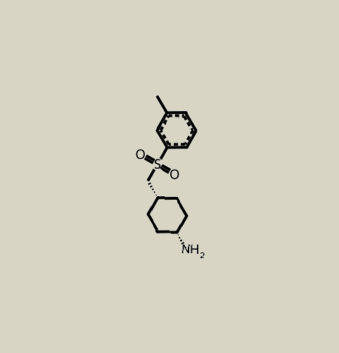 Cc1cccc(S(=O)(=O)C[C@H]2CC[C@@H](N)CC2)c1